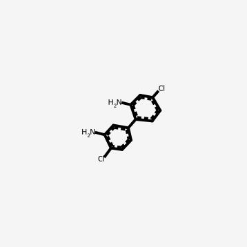 Nc1cc(-c2ccc(Cl)cc2N)ccc1Cl